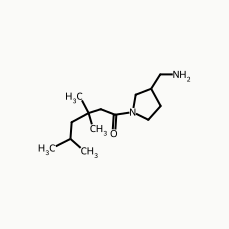 CC(C)CC(C)(C)CC(=O)N1CCC(CN)C1